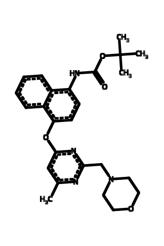 Cc1cc(Oc2ccc(NC(=O)OC(C)(C)C)c3ccccc23)nc(CN2CCOCC2)n1